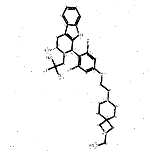 C[C@@H]1Cc2c([nH]c3ccccc23)[C@@H](c2c(F)cc(OCCN3CCC4(CC3)CN(CC(=O)O)C4)cc2F)N1CC(C)(C)F